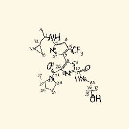 CC(Nc1cc(C(F)(F)F)c(-c2sc(C(=O)NCC(C)(C)O)nc2C(=O)N2CCC[C@@H]2C)cn1)C1CC1